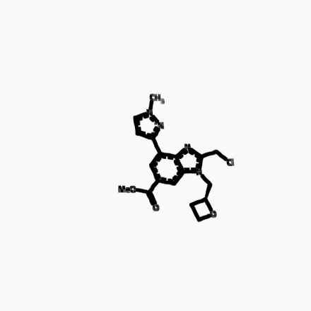 COC(=O)c1cc(-c2ccn(C)n2)c2nc(CCl)n(C[C@@H]3CCO3)c2c1